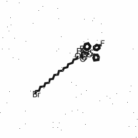 O=C(OCCCCCCCCCCCCCCCCCCBr)C(F)(F)S(=O)(=O)OS(c1ccccc1)(c1ccccc1)c1ccc(F)cc1